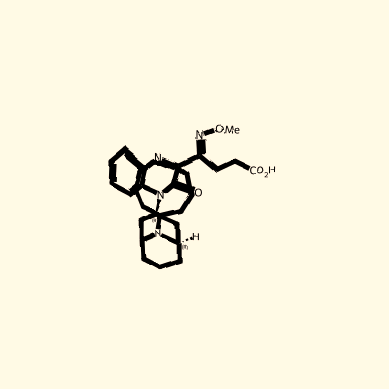 CON=C(CCC(=O)O)c1nc2ccccc2n([C@@H]2CC3CCC[C@H](C2)N3C2CCCCCCCC2)c1=O